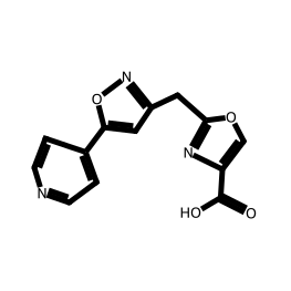 O=C(O)c1coc(Cc2cc(-c3ccncc3)on2)n1